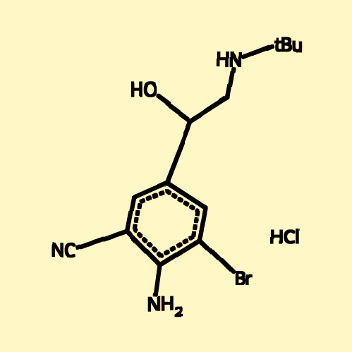 CC(C)(C)NCC(O)c1cc(Br)c(N)c(C#N)c1.Cl